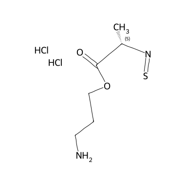 C[C@H](N=S)C(=O)OCCCN.Cl.Cl